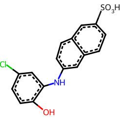 O=S(=O)(O)c1ccc2cc(Nc3cc(Cl)ccc3O)ccc2c1